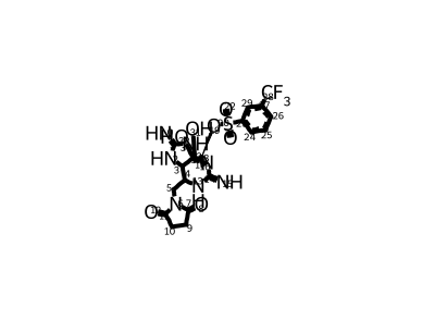 N=C1NC2C(CN3C(=O)CCC3=O)NC(=N)N3C[C@H](OS(=O)(=O)c4cccc(C(F)(F)F)c4)C(O)(O)C23N1